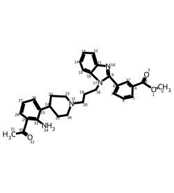 COC(=O)c1cccc(-c2nc3ccccc3n2CCCN2CCC(c3cccc(C(C)=O)c3N)CC2)c1